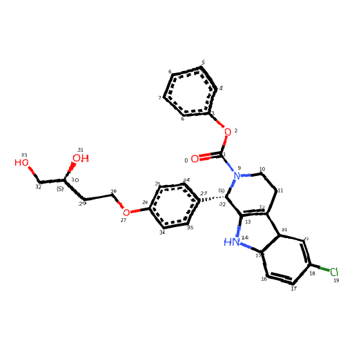 O=C(Oc1ccccc1)N1CCC2=C(NC3C=CC(Cl)=CC23)[C@@H]1c1ccc(OCC[C@H](O)CO)cc1